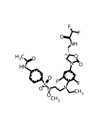 CCN(CCN(OC)S(=O)(=O)c1ccc(NC(C)=O)cc1)c1c(F)cc(N2C[C@H](CNC(=O)C(F)F)OC2=O)cc1F